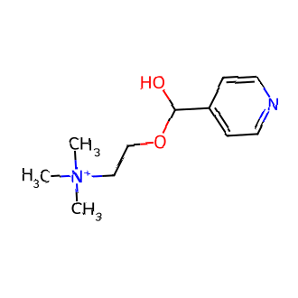 C[N+](C)(C)CCOC(O)c1ccncc1